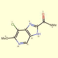 CNC(=O)c1nc2c(Cl)c(OC)ncc2[nH]1